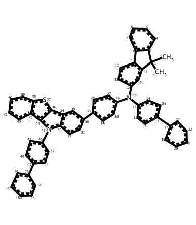 CC1(C)c2ccccc2-c2ccc(N(c3ccc(-c4ccccc4)cc3)c3ccc(-c4ccc5c(c4)c4sc6ccccc6c4n5-c4ccc(-c5ccccc5)cc4)cc3)cc21